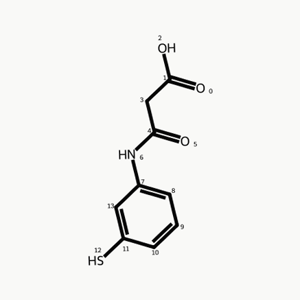 O=C(O)CC(=O)Nc1cccc(S)c1